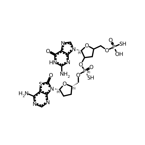 Nc1nc2c(ncn2[C@@H]2OC(COP(=O)(O)S)CC2O[P@](=O)(S)OC[C@@H]2CC[C@H](n3c(=O)sc4c(N)ncnc43)O2)c(=O)[nH]1